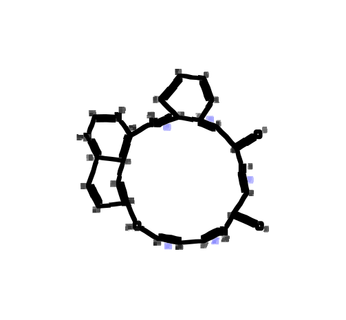 O=C1/C=N\C(=O)/C=c2/cccc/c2=N/c2ncnc3ccc(cc23)O/C=C\C=N/1